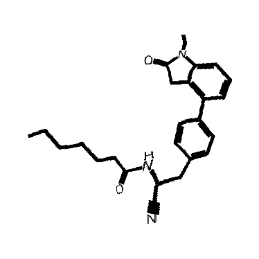 CCCCCCC(=O)NC(C#N)Cc1ccc(-c2cccc3c2CC(=O)N3C)cc1